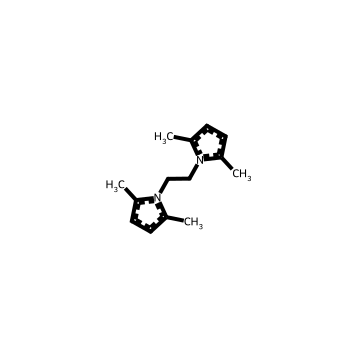 Cc1ccc(C)n1CCn1c(C)ccc1C